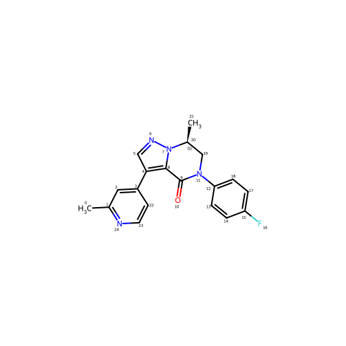 Cc1cc(-c2cnn3c2C(=O)N(c2ccc(F)cc2)C[C@@H]3C)ccn1